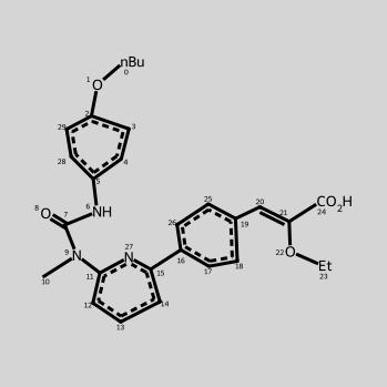 CCCCOc1ccc(NC(=O)N(C)c2cccc(-c3ccc(/C=C(\OCC)C(=O)O)cc3)n2)cc1